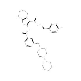 O=C(Nc1sc2c(c1C(=O)NN=Cc1ccc(F)cc1)CCCC2)c1cccc(CN2CCC(N3CCCCC3)CC2)c1